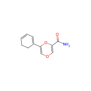 NC(=O)C1=COC=C(C2=CC=CCC2)O1